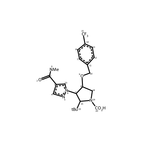 CNC(=O)c1cnn(C2C(OCc3ccc(C(F)(F)F)cc3)CN(C(=O)O)C2C(C)(C)C)c1